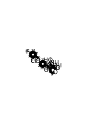 O=C(NO)C1(O)C(=O)OCCC1S(=O)(=O)c1ccc(OCc2ccc(F)cc2Cl)cc1